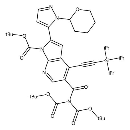 CC(C)[Si](C#Cc1c(C(=O)N(C(=O)OC(C)(C)C)C(=O)OC(C)(C)C)cnc2c1cc(-c1ccnn1C1CCCCO1)n2C(=O)OC(C)(C)C)(C(C)C)C(C)C